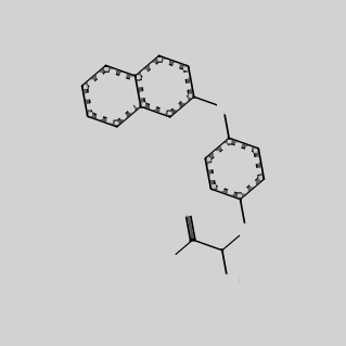 CC(C)COC(=O)C(C)Oc1ccc(Oc2ccc3ccccc3c2)cc1